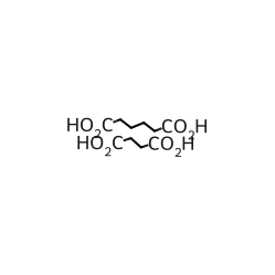 O=C(O)CCC(=O)O.O=C(O)CCCCC(=O)O